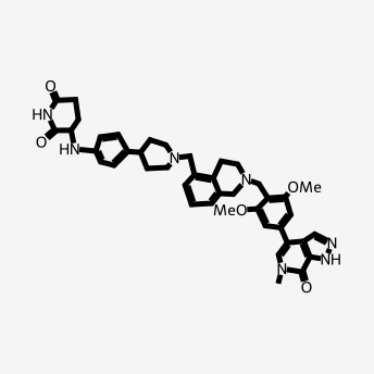 COc1cc(-c2cn(C)c(=O)c3[nH]ncc23)cc(OC)c1CN1CCc2c(CN3CCC(c4ccc(NC5CCC(=O)NC5=O)cc4)CC3)cccc2C1